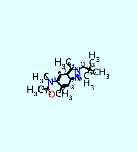 CC(=O)N(C)c1cc2c(C)n(CC(C)(C)C)nc2cc1C